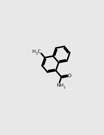 Cc1ccc(C(N)=O)c2ccccc12